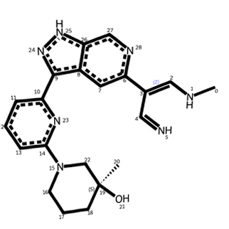 CN/C=C(\C=N)c1cc2c(-c3cccc(N4CCC[C@](C)(O)C4)n3)n[nH]c2cn1